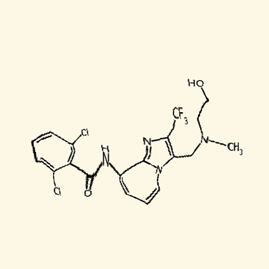 CN(CCO)Cc1c(C(F)(F)F)nc2c(NC(=O)c3c(Cl)cccc3Cl)cccn12